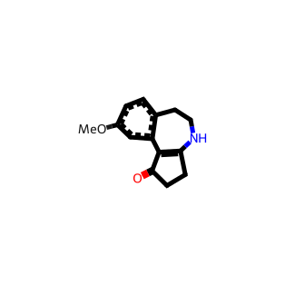 COc1ccc2c(c1)C1=C(CCC1=O)NCC2